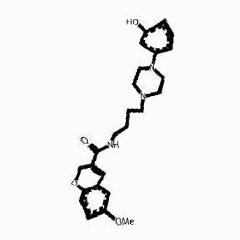 COc1ccc2c(c1)C=C(C(=O)NCCCCN1CCN(c3cccc(O)c3)CC1)CO2